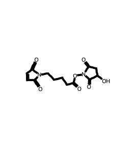 O=C(CCCCN1C(=O)C=CC1=O)ON1C(=O)CC(O)C1=O